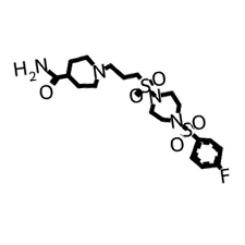 NC(=O)C1CCN(CCCS(=O)(=O)N2CCN(S(=O)(=O)c3ccc(F)cc3)CC2)CC1